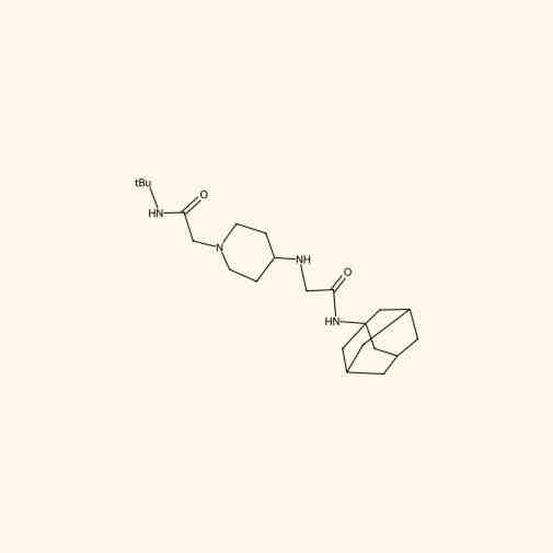 CC(C)(C)NC(=O)CN1CCC(NCC(=O)NC23CC4CC(CC(C4)C2)C3)CC1